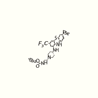 CC(C)(C)OC(=O)NCCN1CCC(Nc2cc(C(F)(F)F)cc3c2Nc2ccc(Br)cc2S3)CC1